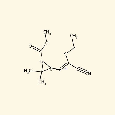 CCS/C(C#N)=C\[C@@H]1[C@@H](C(=O)OC)C1(C)C